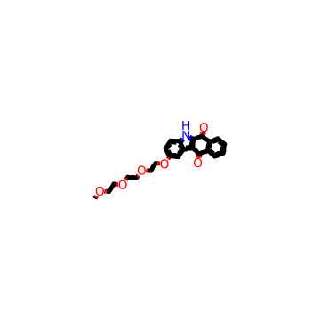 COCCOCCOCCOc1ccc2[nH]c3c(c2c1)C(=O)c1ccccc1C3=O